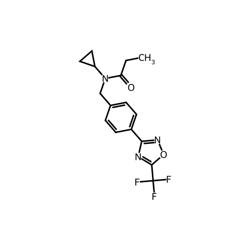 CCC(=O)N(Cc1ccc(-c2noc(C(F)(F)F)n2)cc1)C1CC1